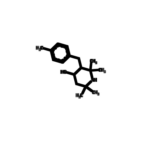 Cc1ccc(CC2C(O)CC(C)(C)NC2(C)C)cc1